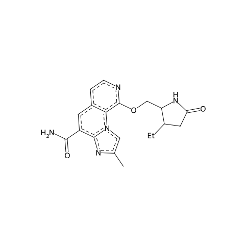 CCC1CC(=O)NC1COc1nccc2cc(C(N)=O)c3nc(C)cn3c12